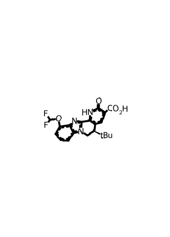 CC(C)(C)[C@H]1Cn2c(nc3c(OC(F)F)cccc32)-c2[nH]c(=O)c(C(=O)O)cc21